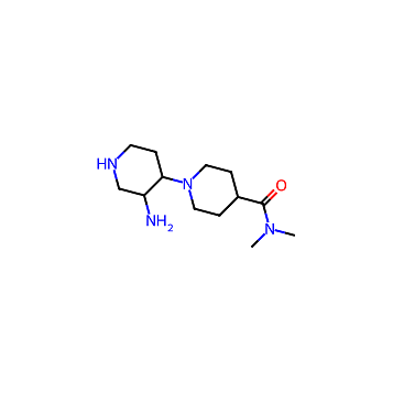 CN(C)C(=O)C1CCN(C2CCNCC2N)CC1